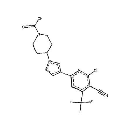 N#Cc1c(C(F)(F)F)cc(-c2cnn(C3CCN(C(=O)O)CC3)c2)nc1Cl